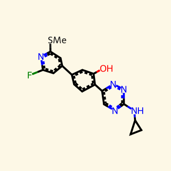 CSc1cc(-c2ccc(-c3cnc(NC4CC4)nn3)c(O)c2)cc(F)n1